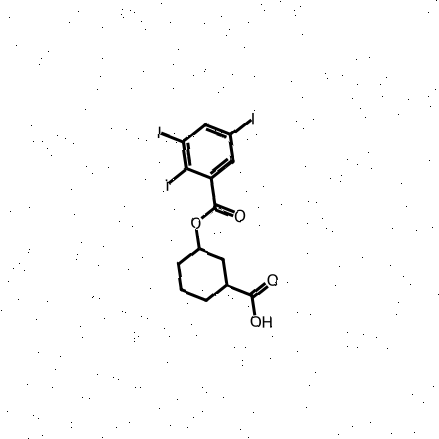 O=C(OC1CCCC(C(=O)O)C1)c1cc(I)cc(I)c1I